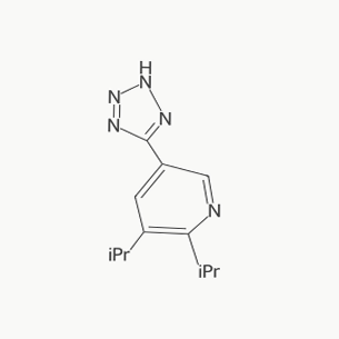 CC(C)c1cc(-c2nn[nH]n2)cnc1C(C)C